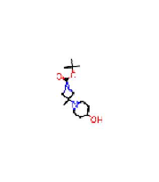 CC(C)(C)OC(=O)N1CC(C)(N2CCC(O)CC2)C1